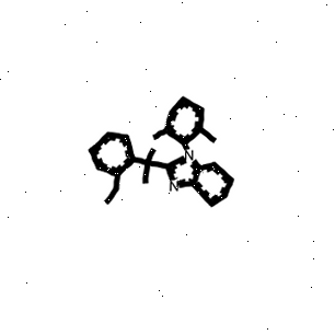 CCc1ccccc1C(C)(C)c1nc2ccccc2n1-c1c(C)cccc1C